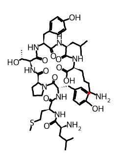 CSCC[C@H](NC(=O)[C@@H](N)CC(C)C)C(=O)N[C@@H](Cc1ccc(O)cc1)C(=O)N1CCC[C@H]1C(=O)N[C@H](C(=O)N[C@@H](Cc1ccc(O)cc1)C(=O)N[C@@H](CC(C)C)C(=O)N[C@@H](CCCCN)C(=O)O)[C@@H](C)O